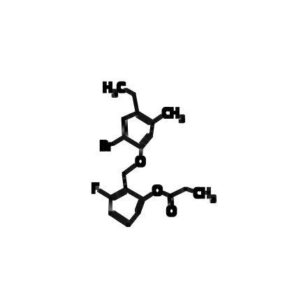 CCC(=O)Oc1cccc(F)c1COc1cc(C)c(CC)cc1Br